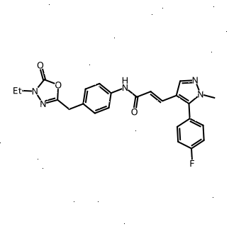 CCn1nc(Cc2ccc(NC(=O)C=Cc3cnn(C)c3-c3ccc(F)cc3)cc2)oc1=O